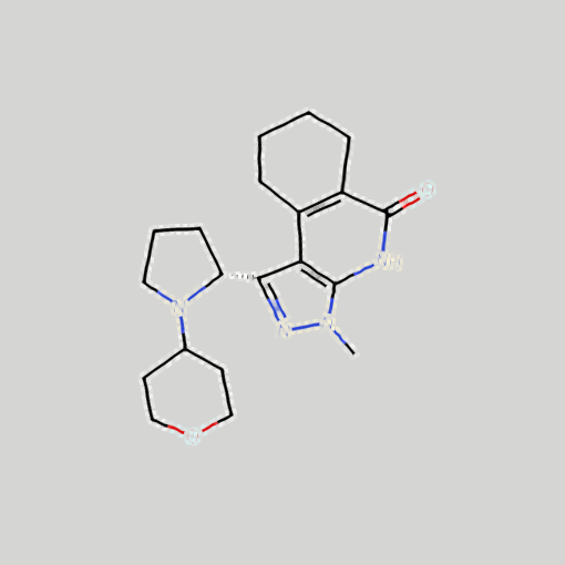 Cn1nc([C@H]2CCCN2C2CCOCC2)c2c3c(c(=O)[nH]c21)CCCC3